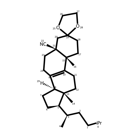 CC(C)CC[C@@H](C)[C@H]1CC[C@H]2C3=C(CC[C@]12C)[C@@]1(C)CCC2(C[C@@]1(C#N)CC3)OCCO2